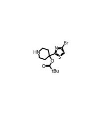 CC(C)(C)C(=O)OC1(c2nc(Br)cs2)CCNCC1